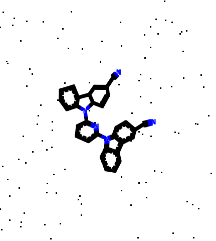 N#CC1=CC2c3ccccc3N(c3cccc(-n4c5ccccc5c5cc(C#N)ccc54)n3)C2C=C1